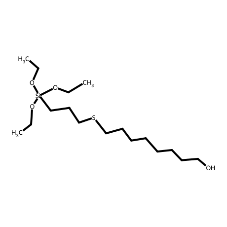 CCO[Si](CCCSCCCCCCCCO)(OCC)OCC